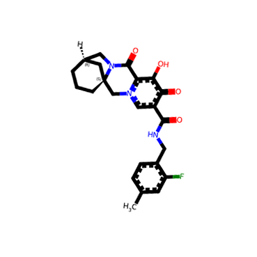 Cc1ccc(CNC(=O)c2cn3c(c(O)c2=O)C(=O)N2C[C@@H]4CCC[C@]2(C4)C3)c(F)c1